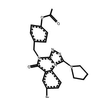 CC(=O)Oc1ccc(Cn2c(=O)c3cc(Br)ccc3n3c(N4CCCC4)nnc23)cc1